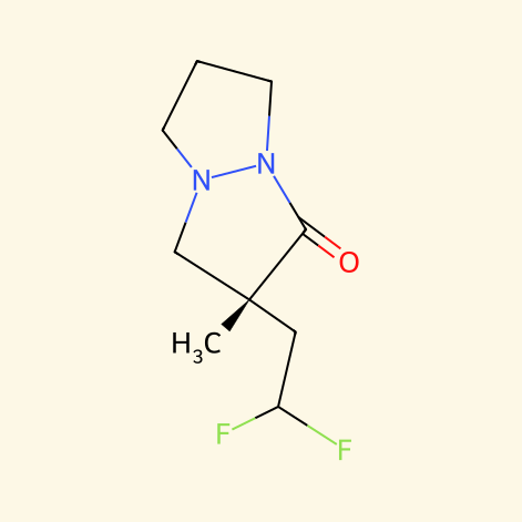 C[C@@]1(CC(F)F)CN2CCCN2C1=O